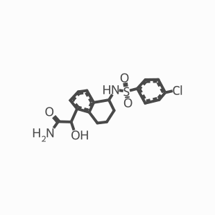 NC(=O)C(O)c1cccc2c1CCCC2NS(=O)(=O)c1ccc(Cl)cc1